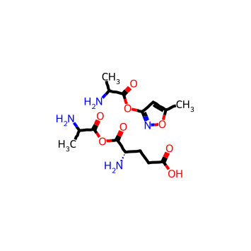 CC(N)C(=O)OC(=O)[C@@H](N)CCC(=O)O.Cc1cc(OC(=O)C(C)N)no1